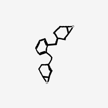 c1ccc(CC2CCC3OC3C2)c(CC2CCC3OC3C2)c1